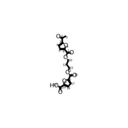 CC(=O)c1ccc(C(=O)OCCCOC(=O)c2ccc(C(=O)O)o2)o1